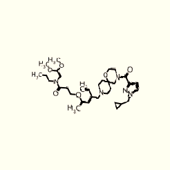 C=C/C(=C\C(C)OCCC(=O)N(CCC)CC(OC)OC)CN1CCC2(CC1)CN(C(=O)c1ccn(CC3CC3)n1)CCO2